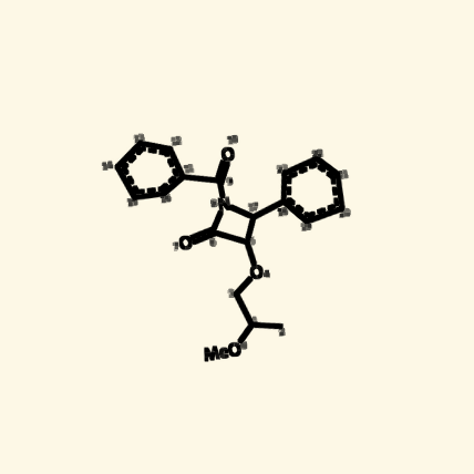 COC(C)COC1C(=O)N(C(=O)c2ccccc2)C1c1ccccc1